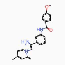 C=C1C=C(C)C=CN1/C=C(\N)c1cccc(NC(=O)c2ccc(OC)cc2)c1